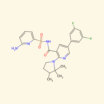 CC1CCN(c2ncc(-c3cc(F)cc(F)c3)cc2C(=O)NS(=O)(=O)c2cccc(N)n2)C1(C)C